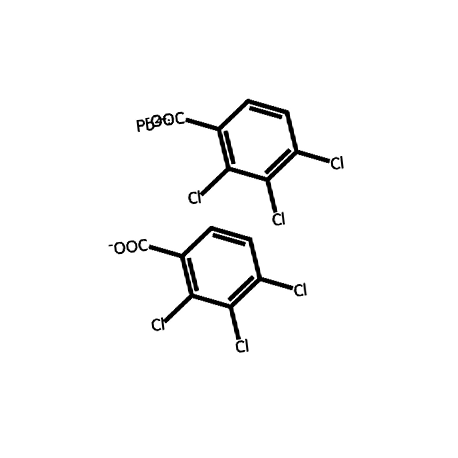 O=C([O-])c1ccc(Cl)c(Cl)c1Cl.O=C([O-])c1ccc(Cl)c(Cl)c1Cl.[Pb+2]